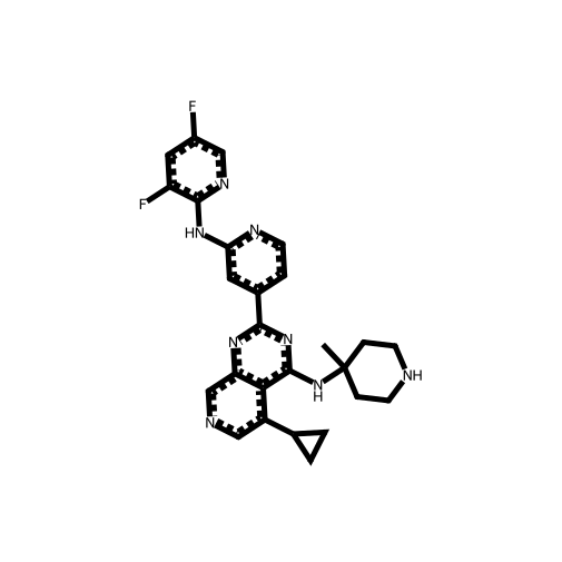 CC1(Nc2nc(-c3ccnc(Nc4ncc(F)cc4F)c3)nc3cncc(C4CC4)c23)CCNCC1